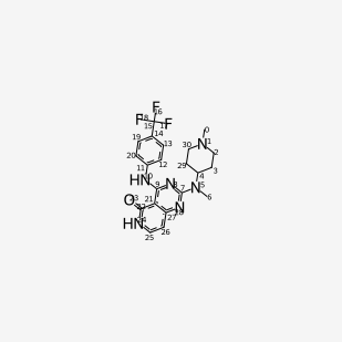 CN1CCC(N(C)c2nc(Nc3ccc(C(F)(F)F)cc3)c3c(=O)[nH]ccc3n2)CC1